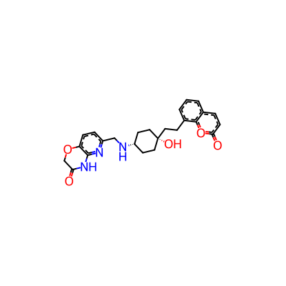 O=C1COc2ccc(CN[C@H]3CC[C@](O)(CCc4cccc5ccc(=O)oc45)CC3)nc2N1